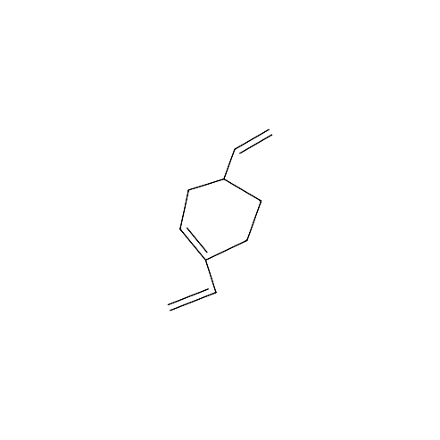 C=CC1=CCC(C=C)CC1